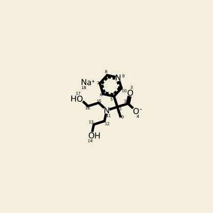 CC(C(=O)[O-])(c1cccnc1)N(CCO)CCO.[Na+]